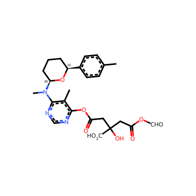 Cc1ccc([C@@H]2CCC[C@H](N(C)c3ncnc(OC(=O)CC(O)(CC(=O)OC=O)C(=O)O)c3C)O2)cc1